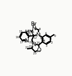 Cc1ccc2c(c1)N1CN(Br)NC1(c1ccccn1)CN1C(C)COC21